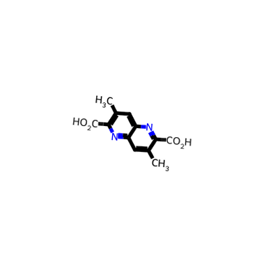 Cc1cc2nc(C(=O)O)c(C)cc2nc1C(=O)O